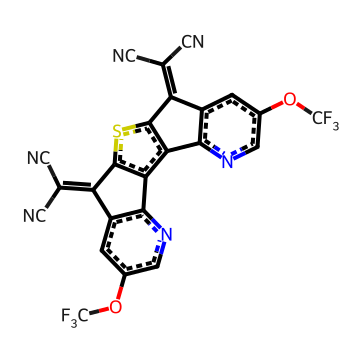 N#CC(C#N)=C1c2cc(OC(F)(F)F)cnc2-c2c1sc1c2-c2ncc(OC(F)(F)F)cc2C1=C(C#N)C#N